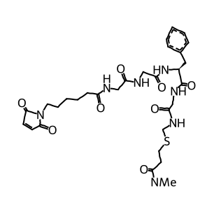 CNC(=O)CCSCNC(=O)CNC(=O)[C@H](Cc1ccccc1)NC(=O)CNC(=O)CNC(=O)CCCCCN1C(=O)C=CC1=O